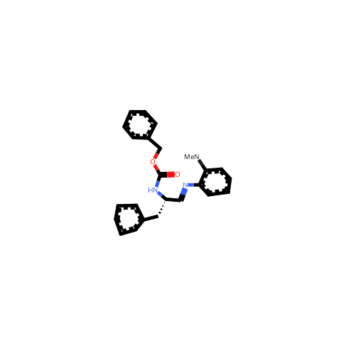 CNc1ccccc1N=C[C@H](Cc1ccccc1)NC(=O)OCc1ccccc1